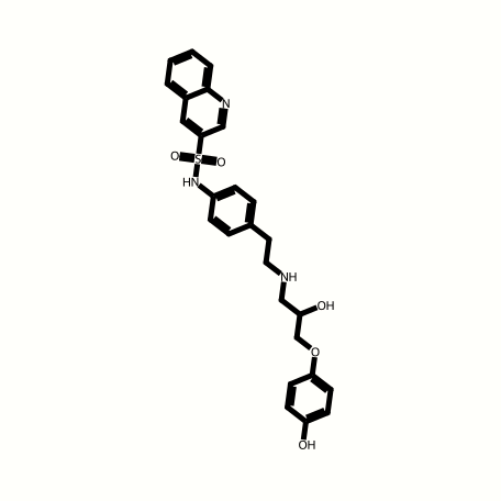 O=S(=O)(Nc1ccc(CCNCC(O)COc2ccc(O)cc2)cc1)c1cnc2ccccc2c1